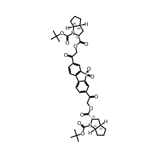 CC(C)(C)OC(=O)N1[C@@H]2CCC[C@@H]2C[C@H]1C(=O)OCC(=O)c1ccc2c(c1)S(=O)(=O)c1cc(C(=O)COC(=O)[C@@H]3C[C@@H]4CCC[C@@H]4N3C(=O)OC(C)(C)C)ccc1-2